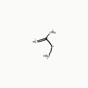 [CH]=C(CCCC)CCCCC